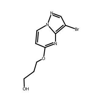 OCCCOc1ccn2ncc(Br)c2n1